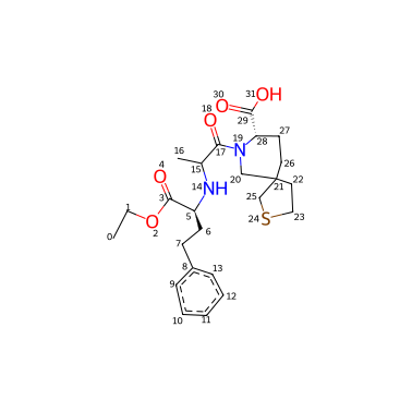 CCOC(=O)[C@H](CCc1ccccc1)NC(C)C(=O)N1CC2(CCSC2)CC[C@H]1C(=O)O